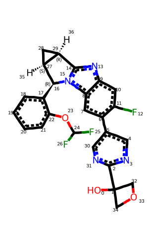 OC1(c2ncc(-c3cc4c(cc3F)nc3n4[C@@H](c4ccccc4OC(F)F)[C@H]4C[C@@H]34)cn2)COC1